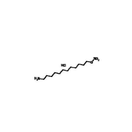 Cl.NCCCCCCCCCCCCO[N+](=O)[O-]